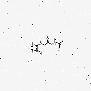 CC(C)NCC(=O)COc1nsnc1Cl